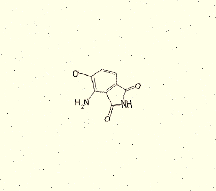 Nc1c(Cl)ccc2c1C(=O)NC2=O